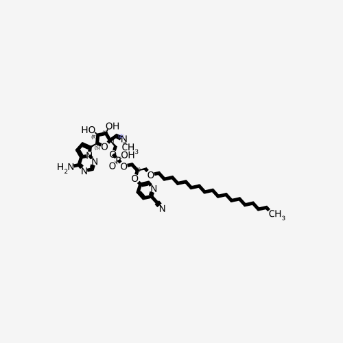 CCCCCCCCCCCCCCCCCCOC[C@H](COP(=O)(O)OC[C@@]1(/C=N\C)O[C@@H](c2ccc3c(N)ncnn23)[C@H](O)[C@@H]1O)Oc1ccc(C#N)nc1